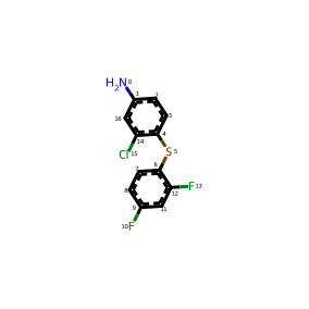 Nc1ccc(Sc2ccc(F)cc2F)c(Cl)c1